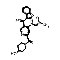 C[S+]([O-])CNc1cc(C(=O)N2CCC(O)CC2)ncc1C(=N)c1coc2ccccc12